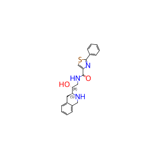 O=C(NC[C@@H](O)[C@@H]1Cc2ccccc2CN1)c1csc(-c2ccccc2)n1